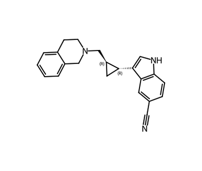 N#Cc1ccc2[nH]cc([C@@H]3C[C@H]3CN3CCc4ccccc4C3)c2c1